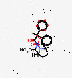 CC(C(=O)N1C[C@@H]2CC[C@H]([C@H]1C(=O)O)N2C(=O)OCc1ccccc1)(c1ccccc1)c1ccccc1